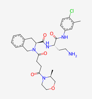 Cc1cc(NC(=O)[C@H](CCN)NC(=O)[C@@H]2Cc3ccccc3CN2C(=O)CCC(=O)N2CCOC[C@@H]2C)ccc1Cl